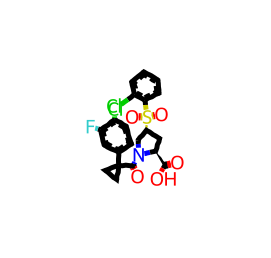 O=C(O)[C@@H]1C[C@@H](S(=O)(=O)c2ccccc2Cl)CN1C(=O)C1(c2ccc(Cl)c(F)c2)CC1